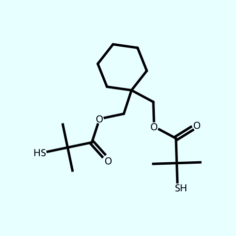 CC(C)(S)C(=O)OCC1(COC(=O)C(C)(C)S)CCCCC1